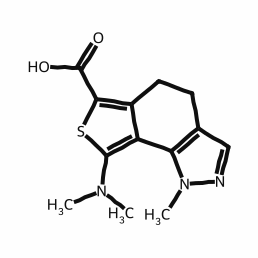 CN(C)c1sc(C(=O)O)c2c1-c1c(cnn1C)CC2